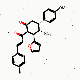 COc1ccc([C@H]2CC(=O)C(C(=O)/C=C/c3ccc(C)cc3)[C@H](c3ccco3)[C@H]2[N+](=O)[O-])cc1